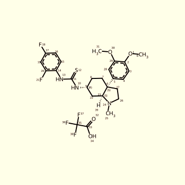 COc1ccc([C@@]23CC[C@@H](NC(=S)Nc4ccc(F)cc4F)C[C@@H]2N(C)CC3)cc1OC.O=C(O)C(F)(F)F